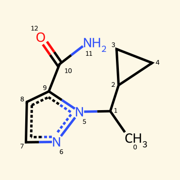 CC(C1CC1)n1nccc1C(N)=O